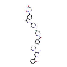 Cc1cn(C2CCN(CC3(F)CCN(C(=O)c4ccc([C@H]5CCCN(c6cc(-c7ccccc7O)nnc6N)C5)c(F)c4)CC3)CC2)c2ccc(N3CCC(=O)NC3=O)cc12